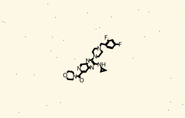 O=C(c1cc2nc(NC3CC3)c(N3CCN(Cc4ccc(F)cc4F)CC3)nc2cn1)N1CCOCC1